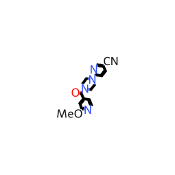 COc1cc(C(=O)N2CCN(c3ccc(C#N)cn3)CC2)ccn1